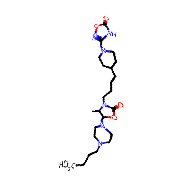 CC1C(N2CCN(CCCC(=O)O)CC2)OC(=O)N1CCCCC1CCN(c2noc(=O)[nH]2)CC1